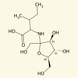 CCC(C)C(NC1(CO)O[C@H](CO)[C@@H](O)[C@@H]1O)C(=O)O